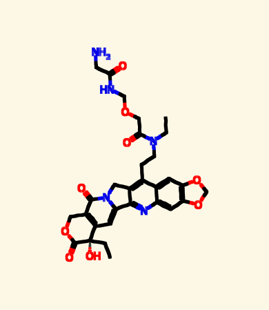 CCN(CCc1c2c(nc3cc4c(cc13)OCO4)-c1cc3c(c(=O)n1C2)COC(=O)[C@]3(O)CC)C(=O)COCNC(=O)CN